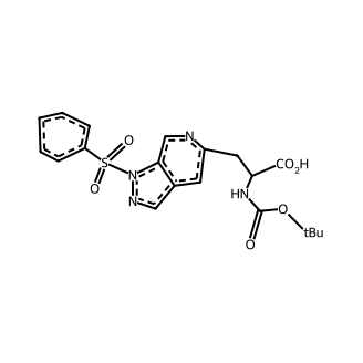 CC(C)(C)OC(=O)NC(Cc1cc2cnn(S(=O)(=O)c3ccccc3)c2cn1)C(=O)O